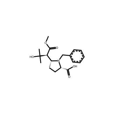 COC(=O)[C@@H]([C@H]1CC[C@@H](C(=O)O)N1Cc1ccccc1)C(C)(C)O